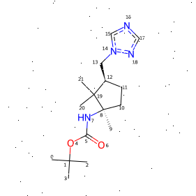 CC(C)(C)OC(=O)N[C@]1(C)CC[C@H](Cn2cncn2)C1(C)C